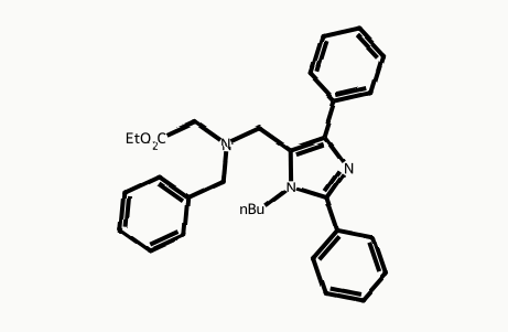 CCCCn1c(-c2ccccc2)nc(-c2ccccc2)c1CN(CC(=O)OCC)Cc1ccccc1